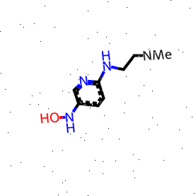 CNCCNc1ccc(NO)cn1